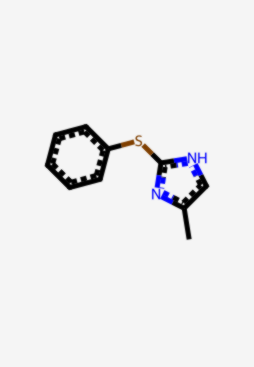 Cc1c[nH]c(Sc2ccccc2)n1